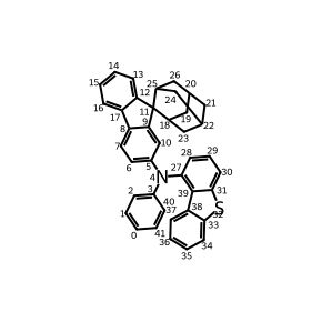 c1ccc(N(c2ccc3c(c2)C2(c4ccccc4-3)C3CC4CC(C3)CC2C4)c2cccc3sc4ccccc4c23)cc1